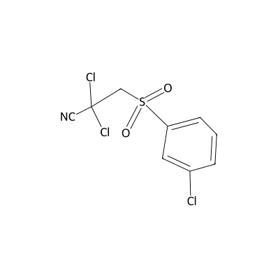 N#CC(Cl)(Cl)CS(=O)(=O)c1cccc(Cl)c1